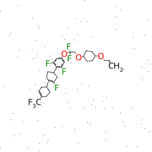 C=CCOC1CCC(OCC(F)(F)Oc2cc(F)c(C3CCC(C4CC=C(C(F)(F)F)CC4)=C(F)C3)c(F)c2)CC1